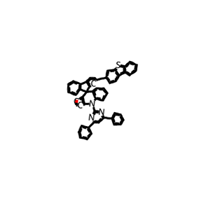 c1ccc(-c2cc(-c3ccccc3)nc(N3c4ccccc4C4(c5ccccc5-c5ccc(-c6ccc7c(c6)sc6ccccc67)cc54)c4ccccc43)n2)cc1